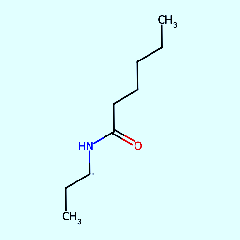 CC[CH]NC(=O)CCCCC